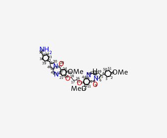 COc1ccc(C2=CN3C(=O)c4cc(OC)c(OCCCOc5cc6c(cc5OC)C(=O)N5C=C(c7ccc(CN)cc7)CC5C=N6)cc4N=C[C@@H]3C2)cc1